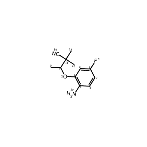 CC(Oc1cc(F)ccc1N)C(C)(C)C#N